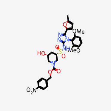 COc1cccc(OC)c1-n1c(NS(=O)(=O)[C@H]2C[C@@H](O)CN(C(=O)OCc3ccc([N+](=O)[O-])cc3)C2)nnc1-c1ccc(C)o1